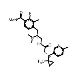 CNC(=O)c1ccc(C[C@@H](CNC(=O)C[C@H](c2ccc(C)nc2)C2(C(F)(F)F)CC2)N(C)C)c(C)c1F